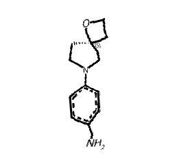 Nc1ccc(N2CC[C@]3(CCO3)C2)cc1